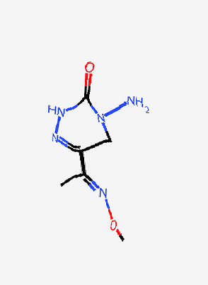 CON=C(C)C1=NNC(=O)N(N)C1